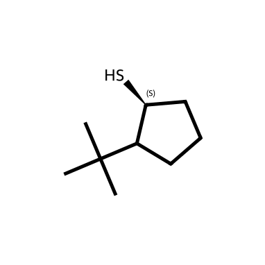 CC(C)(C)C1CCC[C@@H]1S